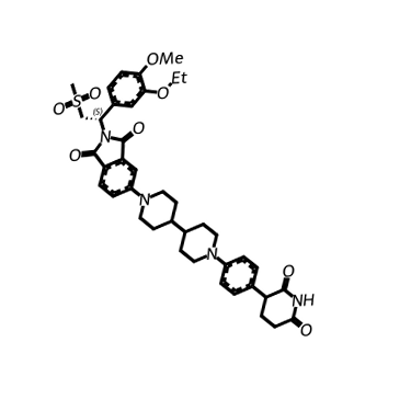 CCOc1cc([C@@H](CS(C)(=O)=O)N2C(=O)c3ccc(N4CCC(C5CCN(c6ccc(C7CCC(=O)NC7=O)cc6)CC5)CC4)cc3C2=O)ccc1OC